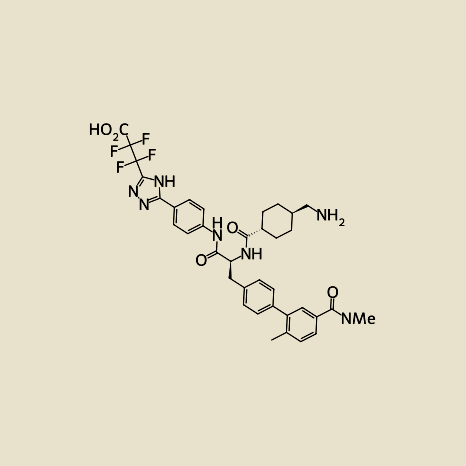 CNC(=O)c1ccc(C)c(-c2ccc(C[C@H](NC(=O)[C@H]3CC[C@H](CN)CC3)C(=O)Nc3ccc(-c4nnc(C(F)(F)C(F)(F)C(=O)O)[nH]4)cc3)cc2)c1